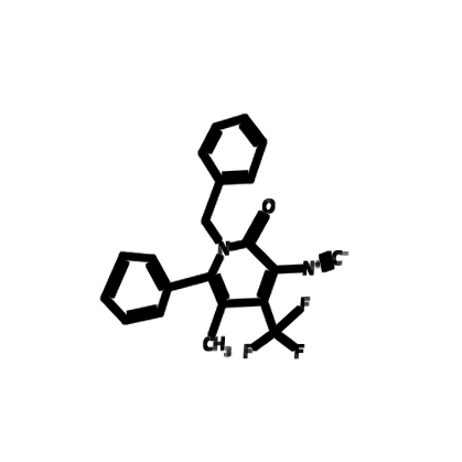 [C-]#[N+]c1c(C(F)(F)F)c(C)c(-c2ccccc2)n(Cc2ccccc2)c1=O